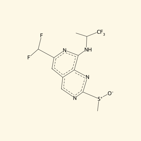 CC(Nc1nc(C(F)F)cc2cnc([S+](C)[O-])nc12)C(F)(F)F